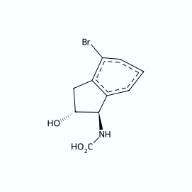 O=C(O)N[C@@H]1c2cccc(Br)c2C[C@H]1O